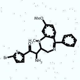 COc1ccc2c(c1)N(C)C(C(N)C(=O)c1ccc(Br)s1)CN=C2c1ccccc1